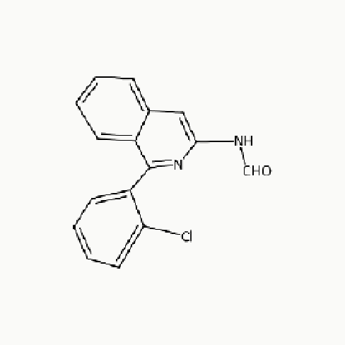 O=CNc1cc2ccccc2c(-c2ccccc2Cl)n1